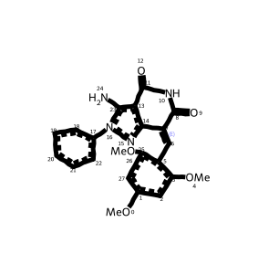 COc1cc(OC)c(/C=C2/C(=O)NC(=O)c3c2nn(-c2ccccc2)c3N)c(OC)c1